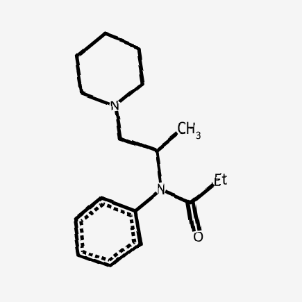 CCC(=O)N(c1ccccc1)C(C)CN1CCCCC1